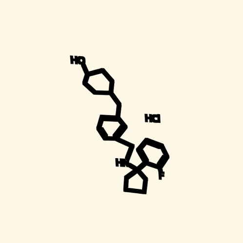 Cl.OC1CCC(Cc2cccc(CNC3(c4ccccc4F)CCCC3)c2)CC1